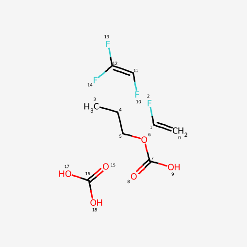 C=CF.CCCOC(=O)O.FC=C(F)F.O=C(O)O